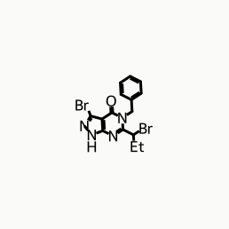 CCC(Br)c1nc2[nH]nc(Br)c2c(=O)n1Cc1ccccc1